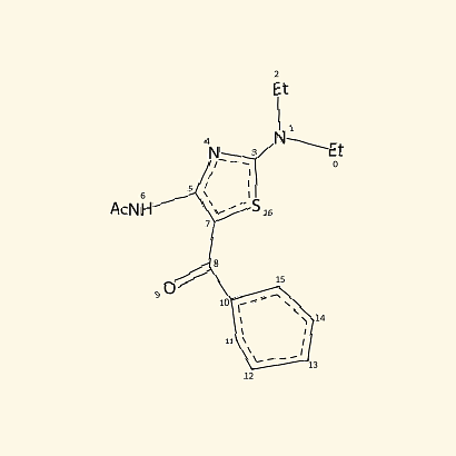 CCN(CC)c1nc(NC(C)=O)c(C(=O)c2ccccc2)s1